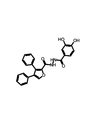 O=C(NNC(=O)c1occ(-c2ccccc2)c1-c1ccccc1)c1ccc(O)c(O)c1